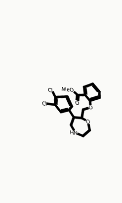 COC(=O)c1ccccc1OCC1OCCNCC1c1ccc(Cl)c(Cl)c1